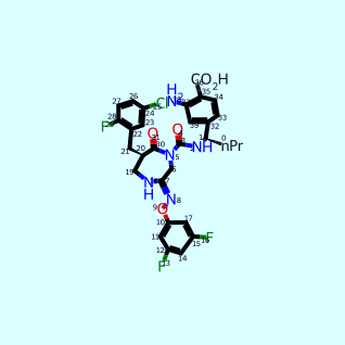 CCC[C@@H](NC(=O)N1C/C(=N/Oc2cc(F)cc(F)c2)NC[C@@H](Cc2cc(Cl)ccc2F)C1=O)c1ccc(C(=O)O)c(N)c1